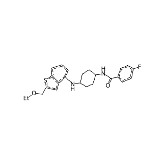 CCOCc1cc2c(NC3CCC(NC(=O)c4ccc(F)cc4)CC3)cccc2s1